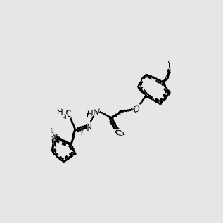 C/C(=N\NC(=O)COc1ccc(I)cc1)c1cccs1